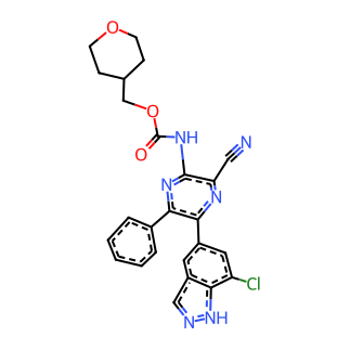 N#Cc1nc(-c2cc(Cl)c3[nH]ncc3c2)c(-c2ccccc2)nc1NC(=O)OCC1CCOCC1